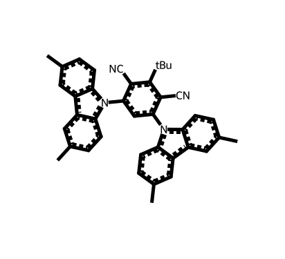 Cc1ccc2c(c1)c1cc(C)ccc1n2-c1cc(-n2c3ccc(C)cc3c3cc(C)ccc32)c(C#N)c(C(C)(C)C)c1C#N